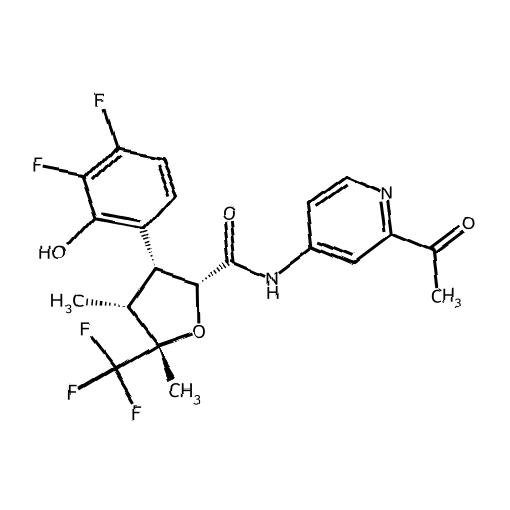 CC(=O)c1cc(NC(=O)[C@@H]2O[C@](C)(C(F)(F)F)[C@H](C)[C@@H]2c2ccc(F)c(F)c2O)ccn1